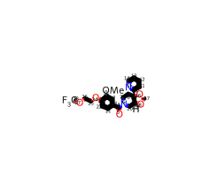 COc1cc(C(=O)N2CC[C@]3(c4ccccn4)OCO[C@@H]3C2)ccc1OCCOC(F)(F)F